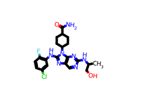 CC(CO)Nc1ncc2nc(Nc3cc(Cl)ccc3F)n(C3CCC(C(N)=O)CC3)c2n1